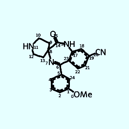 COc1cccc(C2=NC3(CCNCC3)C(=O)Nc3cc(C#N)ccc32)c1